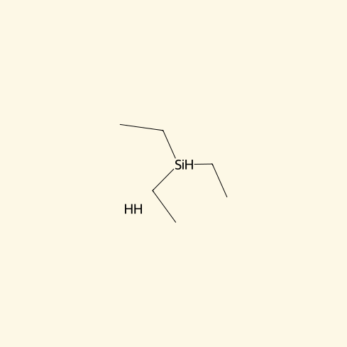 CC[SiH](CC)CC.[HH]